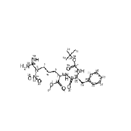 COC(=O)C(CCCN(C(=N)N)[N+](=O)[O-])NC(=O)[C@H](Cc1ccccc1)NC(=O)OC(C)(C)C